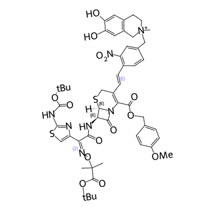 COc1ccc(COC(=O)C2=C(/C=C/c3ccc(C[N+]4(C)CCc5cc(O)c(O)cc5C4)cc3[N+](=O)[O-])CS[C@@H]3[C@H](NC(=O)/C(=N\OC(C)(C)C(=O)OC(C)(C)C)c4csc(NC(=O)OC(C)(C)C)n4)C(=O)N23)cc1